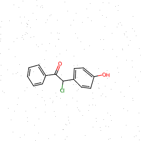 O=C(c1ccccc1)C(Cl)c1ccc(O)cc1